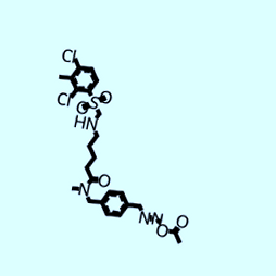 CC(=O)ON=NCc1ccc(CN(C)C(=O)CCCCNCS(=O)(=O)c2ccc(Cl)c(C)c2Cl)cc1